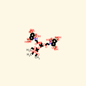 C=CC(=O)OCC(COCC(CO)(COC(=O)CCNc1cc(S(=O)(=O)O)cc2cc(S(=O)(=O)O)cc(S(=O)(=O)O)c12)COC(=O)CCNc1cc(S(=O)(=O)O)cc2cc(S(=O)(=O)O)cc(S(=O)(=O)O)c12)(COC(=O)C=C)COC(=O)C=C